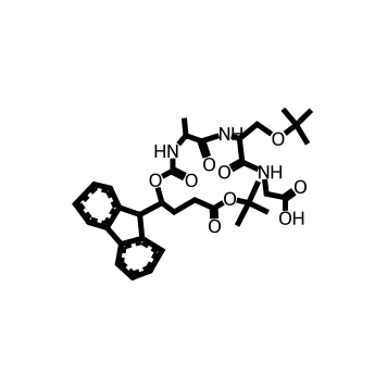 CC(NC(=O)OC(CCC(=O)OC(C)(C)C)C1c2ccccc2-c2ccccc21)C(=O)NC(COC(C)(C)C)C(=O)NCC(=O)O